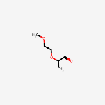 COCCOC(C)C=O